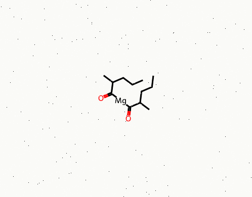 CCCC(C)[C](=O)[Mg][C](=O)C(C)CCC